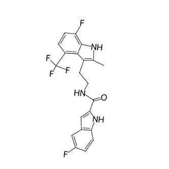 Cc1[nH]c2c(F)ccc(C(F)(F)F)c2c1CCNC(=O)c1cc2cc(F)ccc2[nH]1